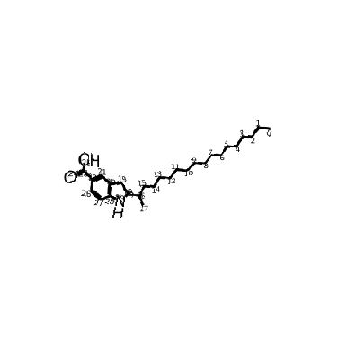 CCCCCCCCCCCCCCCCC(C)[C@@H]1Cc2cc(C(=O)O)ccc2N1